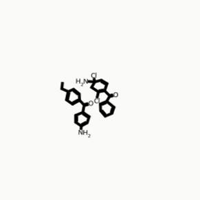 CCc1ccc(C(=O)c2ccc(N)cc2)cc1.NC1(Cl)C=CC(C(=O)c2ccccc2)=C(Cl)C1